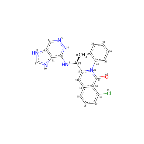 C[C@H](Nc1nncc2[nH]cnc12)c1cc2cccc(Cl)c2c(=O)n1-c1ccccc1